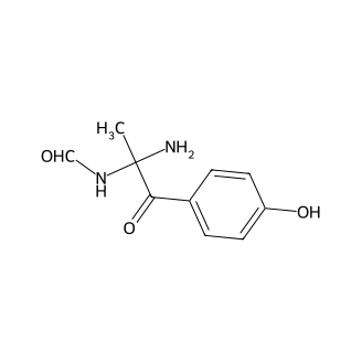 CC(N)(NC=O)C(=O)c1ccc(O)cc1